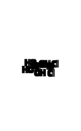 O[Si](O)(O)O.[Cl][Al]([Cl])[Cl]